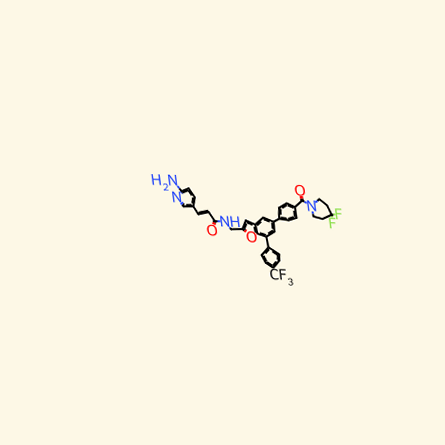 Nc1ccc(/C=C/C(=O)NCc2cc3cc(-c4ccc(C(=O)N5CCC(F)(F)CC5)cc4)cc(-c4ccc(C(F)(F)F)cc4)c3o2)cn1